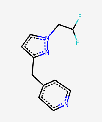 FC(F)Cn1ccc(Cc2ccncc2)n1